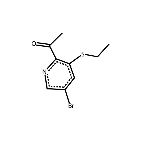 CCSc1cc(Br)cnc1C(C)=O